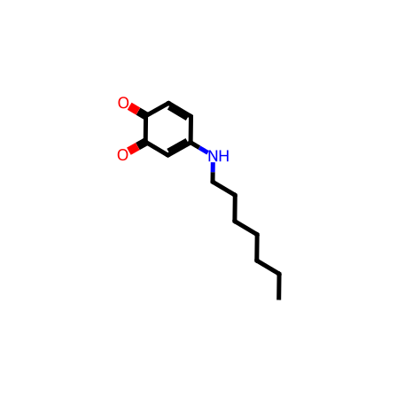 CCCCCCCNC1=CC(=O)C(=O)C=C1